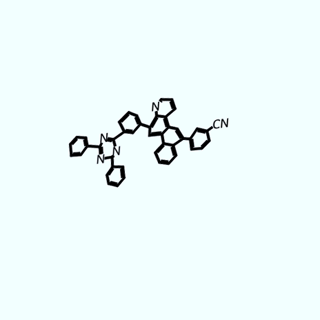 N#Cc1cccc(-c2cc3c4cccnc4c(-c4cccc(-c5nc(-c6ccccc6)nc(-c6ccccc6)n5)c4)cc3c3ccccc23)c1